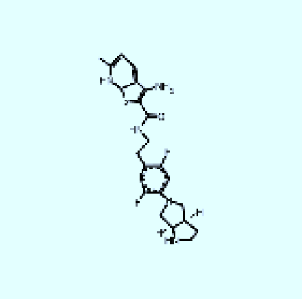 CC1=CC=C2C(N)=C(C(=O)NCCc3cc(F)c(N4C[C@H]5CCN[C@H]5C4)cc3F)SC2N1